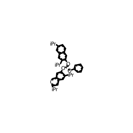 CC(C)c1ccc2cc(OP(Oc3ccccc3)Oc3cc4ccc(C(C)C)cc4cc3C(C)C)c(C(C)C)cc2c1